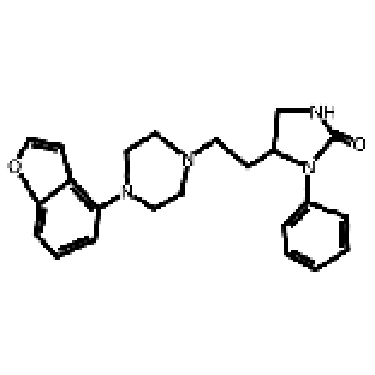 O=C1NCC(CCN2CCN(c3cccc4occc34)CC2)N1c1ccccc1